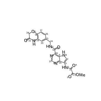 COC(=O)C(=O)Nc1c[nH]c2c(C(=O)NCc3ccc4c(c3)NC(=O)CO4)ncnc12